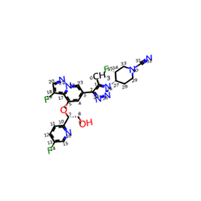 Cc1c(-c2cc(O[C@H](CO)c3ccc(F)cn3)c3c(F)cnn3c2)nnn1[C@H]1CCN(C#N)C[C@H]1F